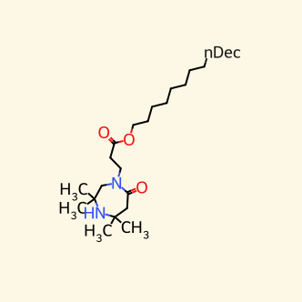 CCCCCCCCCCCCCCCCCCOC(=O)CCN1CC(C)(C)NC(C)(C)CC1=O